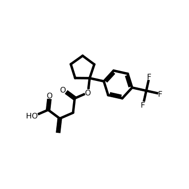 C=C(CC(=O)OC1(c2ccc(C(F)(F)F)cc2)CCCC1)C(=O)O